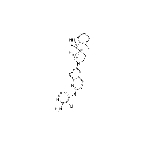 NC[C@]1(c2ccccc2F)[C@@H]2CN(c3ccc4nc(Sc5ccnc(N)c5Cl)ccc4n3)CC[C@@H]21